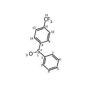 [O-][S+](c1ccccc1)c1ccc(C(F)(F)F)cc1